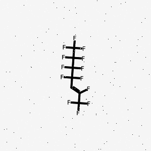 FC(=CC(F)(F)C(F)(F)C(F)(F)C(F)(F)F)C(F)(F)F